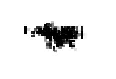 COC(=O)C(C[C@@H]1CC(C)(C)NC1=O)NC(=O)C(CC(C)(C)C)NC(=O)c1cc2cc(OC)cc(Cl)c2[nH]1